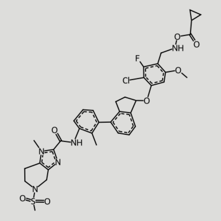 COc1cc(OC2CCc3c(-c4cccc(NC(=O)c5nc6c(n5C)CCN(S(C)(=O)=O)C6)c4C)cccc32)c(Cl)c(F)c1CNOC(=O)C1CC1